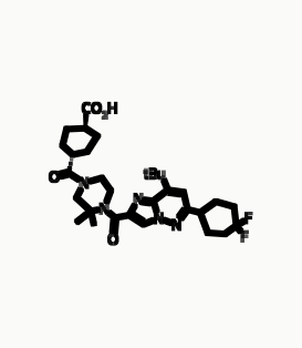 CC(C)(C)c1cc(C2CCC(F)(F)CC2)nn2cc(C(=O)N3CCN(C(=O)[C@H]4CC[C@H](C(=O)O)CC4)CC3(C)C)nc12